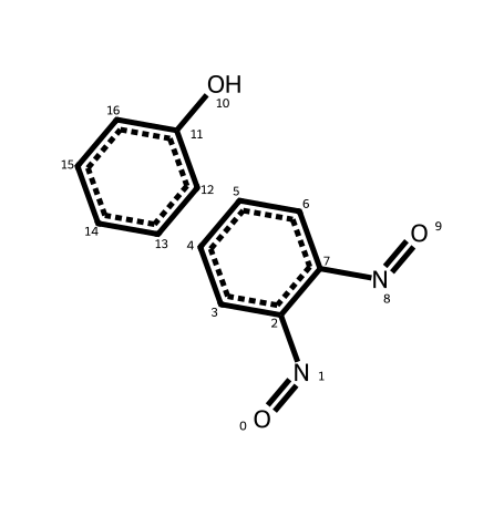 O=Nc1ccccc1N=O.Oc1ccccc1